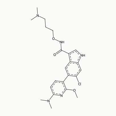 COc1nc(N(C)C)ccc1-c1cc2c(C(=O)NOCCCN(C)C)c[nH]c2cc1Cl